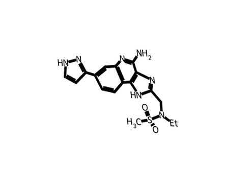 CCN(Cc1nc2c(N)nc3cc(-c4cc[nH]n4)ccc3c2[nH]1)S(C)(=O)=O